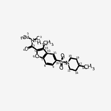 CCCCN(C)C(=O)c1oc2ccc(S(=O)(=O)N3CCC(C)CC3)cc2c1C